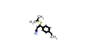 CCc1ccc(/C(=C\C#N)SC(C)C)cc1